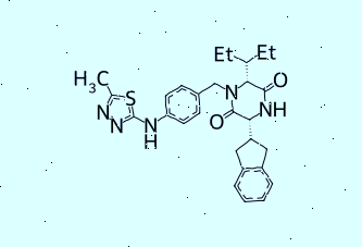 CCC(CC)[C@@H]1C(=O)N[C@H](C2Cc3ccccc3C2)C(=O)N1Cc1ccc(Nc2nnc(C)s2)cc1